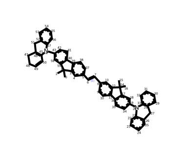 CC1(C)c2cc(/C=C/c3ccc4c(c3)C(C)(C)c3cc(N5c6ccccc6Cc6ccccc65)ccc3-4)ccc2-c2ccc(N3C4=C(CCC=C4)Cc4ccccc43)cc21